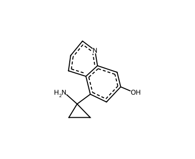 NC1(c2cc(O)cc3ncccc23)CC1